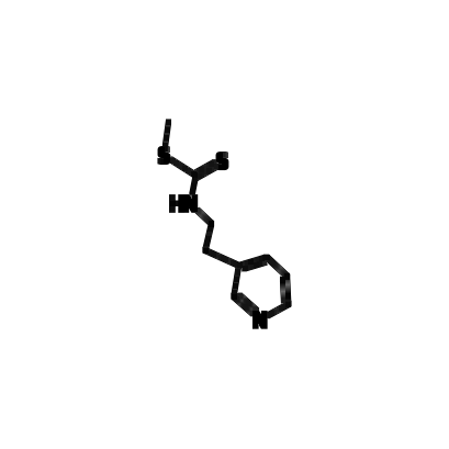 CSC(=S)NCCc1cccnc1